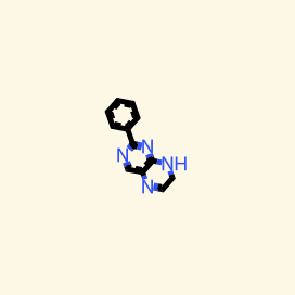 C1=Nc2cnc(-c3ccccc3)nc2NC1